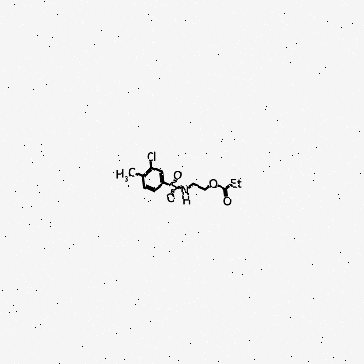 CCC(=O)OCCNS(=O)(=O)c1ccc(C)c(Cl)c1